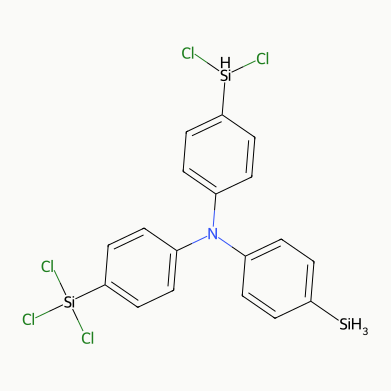 [SiH3]c1ccc(N(c2ccc([SiH](Cl)Cl)cc2)c2ccc([Si](Cl)(Cl)Cl)cc2)cc1